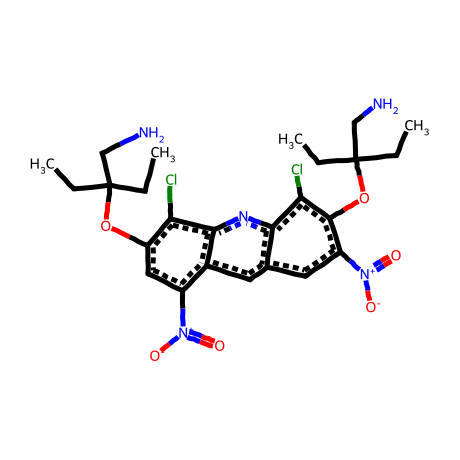 CCC(CC)(CN)Oc1cc([N+](=O)[O-])c2cc3cc([N+](=O)[O-])c(OC(CC)(CC)CN)c(Cl)c3nc2c1Cl